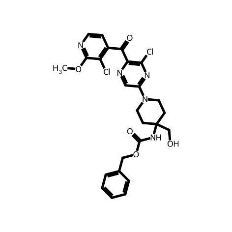 COc1nccc(C(=O)c2ncc(N3CCC(CO)(NC(=O)OCc4ccccc4)CC3)nc2Cl)c1Cl